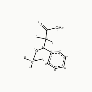 COC(=O)C(C)(C)C(O[Si](C)(C)C)c1ccccc1